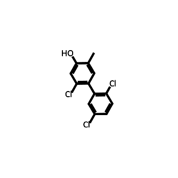 Cc1cc(-c2cc(Cl)ccc2Cl)c(Cl)cc1O